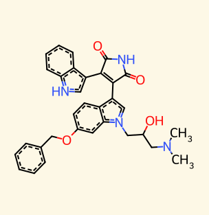 CN(C)CC(O)Cn1cc(C2=C(c3c[nH]c4ccccc34)C(=O)NC2=O)c2ccc(OCc3ccccc3)cc21